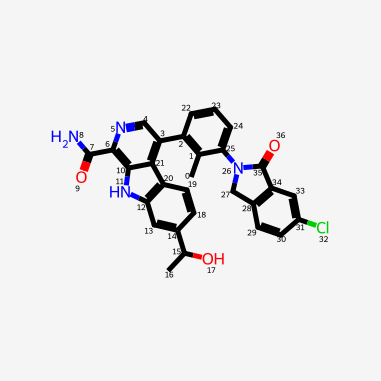 Cc1c(-c2cnc(C(N)=O)c3[nH]c4cc(C(C)O)ccc4c23)cccc1N1Cc2ccc(Cl)cc2C1=O